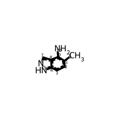 Cc1ccc2[nH]ncc2c1N